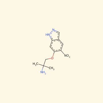 CC(C)(N)COc1cc2[nH]ncc2cc1[N+](=O)[O-]